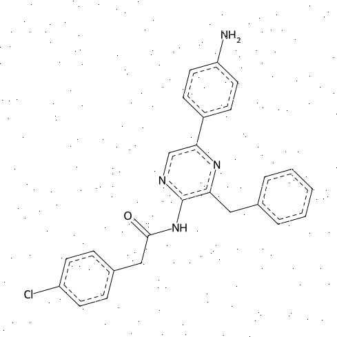 Nc1ccc(-c2cnc(NC(=O)Cc3ccc(Cl)cc3)c(Cc3ccccc3)n2)cc1